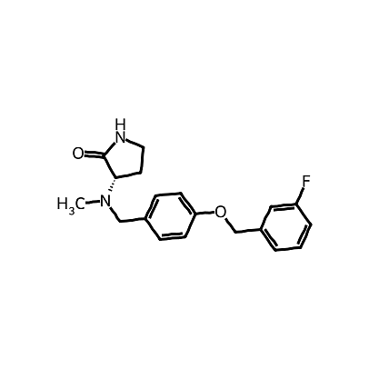 CN(Cc1ccc(OCc2cccc(F)c2)cc1)[C@H]1CCNC1=O